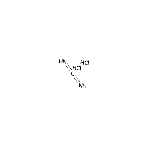 Cl.Cl.N=C=N